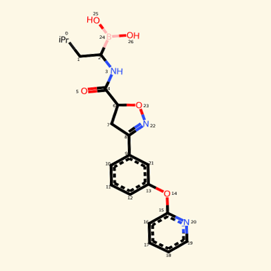 CC(C)CC(NC(=O)C1CC(c2cccc(Oc3ccccn3)c2)=NO1)B(O)O